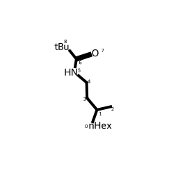 CCCCCCC(C)CCNC(=O)C(C)(C)C